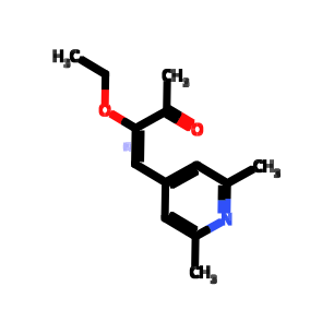 CCO/C(=C/c1cc(C)nc(C)c1)C(C)=O